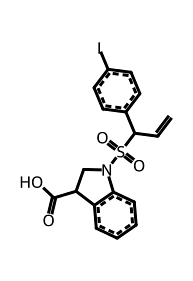 C=CC(c1ccc(I)cc1)S(=O)(=O)N1CC(C(=O)O)c2ccccc21